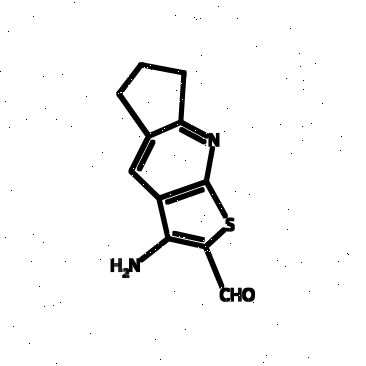 Nc1c(C=O)sc2nc3c(cc12)CCC3